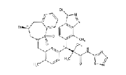 CC[C@H]1Cc2ccccc2S(=O)(=O)N(Cc2cc([C@@H](c3ccc4c(nnn4CC)c3C)C(C)(C)C(=O)Nc3ncns3)ccc2C)C1